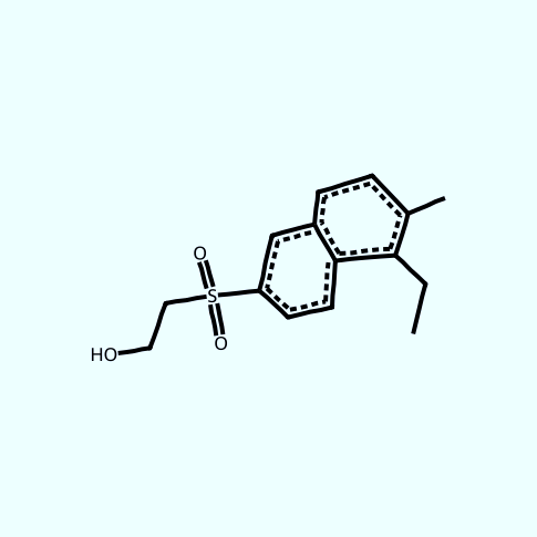 CCc1c(C)ccc2cc(S(=O)(=O)CCO)ccc12